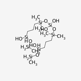 C[SiH2]O[SiH](O)CCC[Si](C)(C)O[Si](O)(O)O[Si](C)(C)CCC[SiH](O)O[SiH2]C